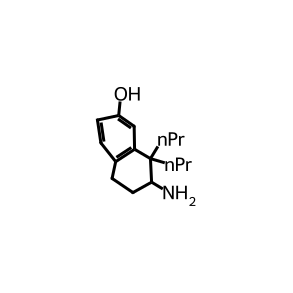 CCCC1(CCC)c2cc(O)ccc2CCC1N